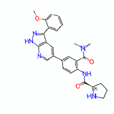 COc1ccccc1-c1n[nH]c2ncc(-c3ccc(NC(=O)[C@H]4CCCN4)c(C(=O)N(C)C)c3)cc12